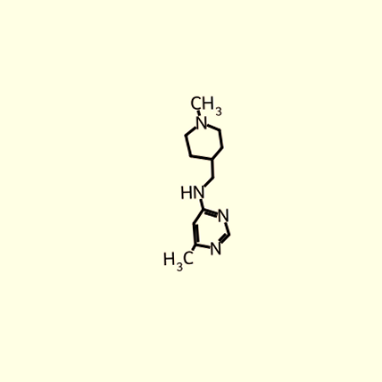 Cc1cc(NCC2CCN(C)CC2)ncn1